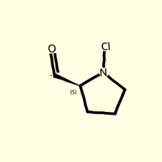 O=[C][C@@H]1CCCN1Cl